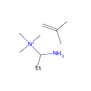 C=C(C)C.CCC(N)[N+](C)(C)C